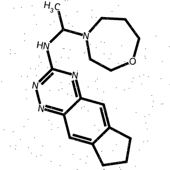 CC(Nc1nnc2cc3c(cc2n1)CCC3)N1CCCOCC1